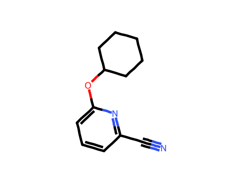 N#Cc1cccc(OC2CCCCC2)n1